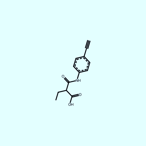 C#Cc1ccc(NC(=O)C(CC)C(=O)O)cc1